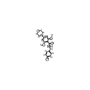 COc1nc(N2CCOCC2)nc(OC)c1C(=O)NCc1ccc(Cl)cc1